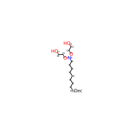 CCCCCCCCCCCCCCCCCCN(OCCO)OCCO